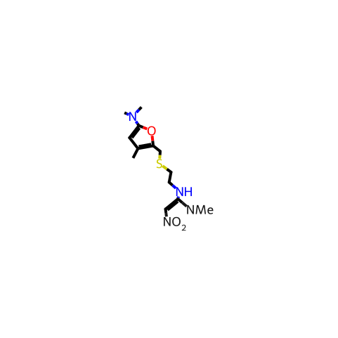 CNC(=C[N+](=O)[O-])NCCSCc1oc(N(C)C)cc1C